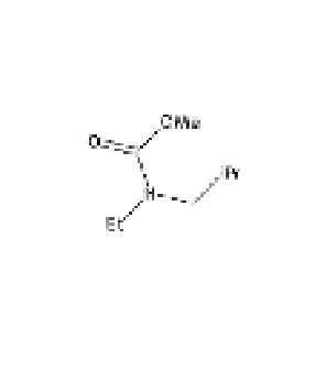 CCN(CC(C)C)C(=O)OC